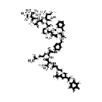 CC[C@H](C)[C@@H]([C@@H](CC(=O)N1CCC[C@H]1[C@H](OC)[C@@H](C)C(=O)N[C@@H](Cc1ccccc1)C(=O)NCc1ccc(NC(=O)[C@H](CCCNC(N)=O)NC(=O)[C@@H](NC(=O)CCCN2CC(C(=O)Oc3c(F)c(F)c(F)c(F)c3F)CC2C(F)(F)F)C(C)C)cc1)OC)N(C)C(=O)[C@@H](NC(=O)[C@H](C(C)C)N(C)C)C(C)C